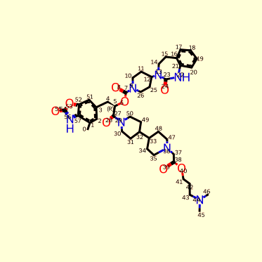 Cc1cc(C[C@@H](OC(=O)N2CCC(N3CCc4ccccc4NC3=O)CC2)C(=O)N2CCC(C3CCN(CC(=O)OCCCN(C)C)CC3)CC2)cc2oc(=O)[nH]c12